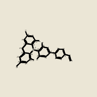 C=Cc1ccc(-c2cc(C)c(B3c4c(C)cc(C)cc4Cc4cc(C)cc(C)c43)c(C)c2)cc1